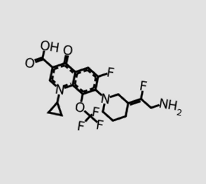 NCC(F)=C1CCCN(c2c(F)cc3c(=O)c(C(=O)O)cn(C4CC4)c3c2OC(F)(F)F)C1